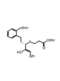 CCCC=C(O)[C@H](CCc1ccccc1CCCCCCCCC)SCCC(=O)OC